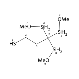 CO[SiH2]C(CCS)([SiH2]OC)[SiH2]OC